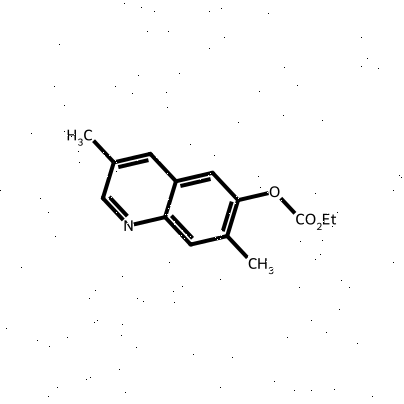 CCOC(=O)Oc1cc2cc(C)cnc2cc1C